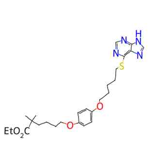 CCOC(=O)C(C)(C)CCCCOc1ccc(OCCCCCSc2ncnc3[nH]cnc23)cc1